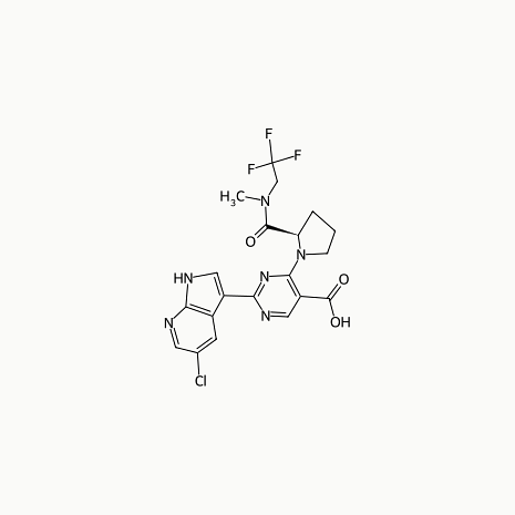 CN(CC(F)(F)F)C(=O)[C@H]1CCCN1c1nc(-c2c[nH]c3ncc(Cl)cc23)ncc1C(=O)O